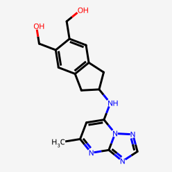 Cc1cc(NC2Cc3cc(CO)c(CO)cc3C2)n2ncnc2n1